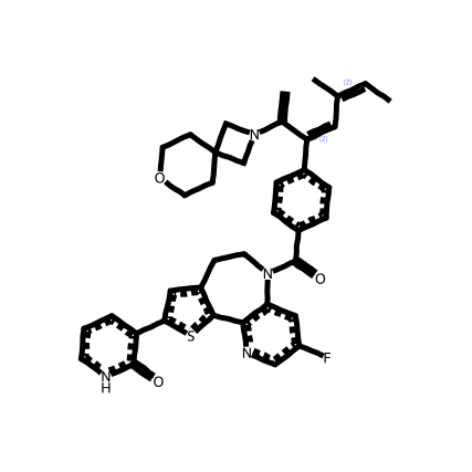 C=C(/C(=C\C(C)=C/C)c1ccc(C(=O)N2CCc3cc(-c4ccc[nH]c4=O)sc3-c3ncc(F)cc32)cc1)N1CC2(CCOCC2)C1